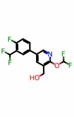 OCc1cc(-c2ccc(F)c(C(F)F)c2)cnc1OC(F)F